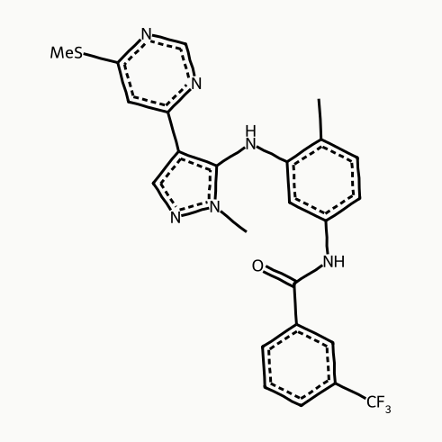 CSc1cc(-c2cnn(C)c2Nc2cc(NC(=O)c3cccc(C(F)(F)F)c3)ccc2C)ncn1